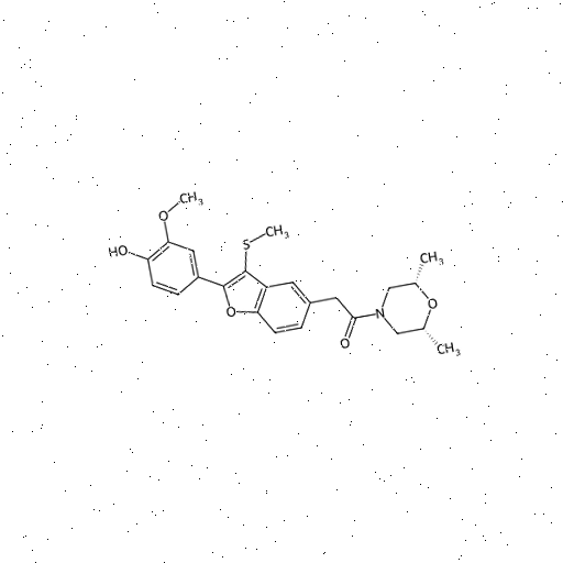 COc1cc(-c2oc3ccc(CC(=O)N4C[C@@H](C)O[C@@H](C)C4)cc3c2SC)ccc1O